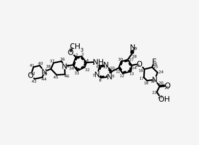 COc1cc(Nc2ncnc(-c3ccc(OC4CCN(C(=O)CO)CC4F)c(C#N)c3)n2)ccc1N1CCC(N2CCOCC2)CC1